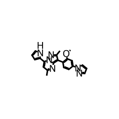 COc1cc(-n2cccn2)ccc1-c1c(C)nn2c(-c3ccc[nH]3)cc(C)nc12